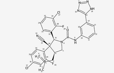 C=C(C)C[C@@H]1CN(C(=O)Nc2cccc(-c3nnn[nH]3)c2)[C@H](c2cccc(Cl)c2F)[C@@]1(C#N)c1ccc(Cl)cc1F